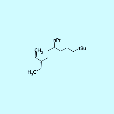 C=C/C(=C\C)CCC(CCC)CCCC(C)(C)C